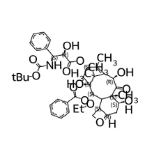 CCO[C@@]12CO[C@@H]1C[C@H](O)[C@@]1(C)C(=O)[C@H](O)C3=C(C)[C@@H](OC(=O)[C@H](O)[C@@H](NC(=O)OC(C)(C)C)c4ccccc4)C[C@@](O)([C@@H](OC(=O)c4ccccc4)C12)C3(C)C